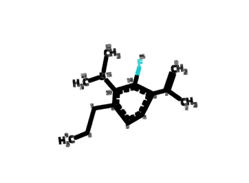 C=C(C)c1ccc(CCC)c(B(C)C)c1F